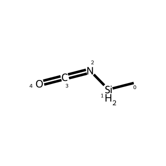 C[SiH2]N=C=O